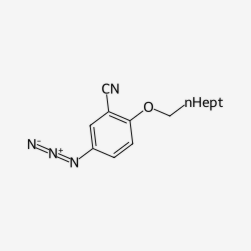 CCCCCCCCOc1ccc(N=[N+]=[N-])cc1C#N